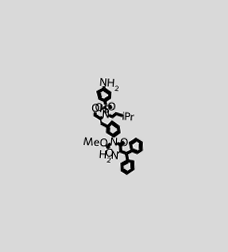 COC(=O)N(C(=O)[C@@H](N)C(c1ccccc1)c1ccccc1)c1cccc(C[C@@H](CO)N(CCC(C)C)S(=O)(=O)c2ccc(N)cc2)c1